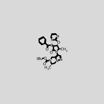 C[C@@H]1[C@@H](Oc2ncccn2)[C@H](OC(=O)c2ccccc2)C(=O)N1c1cnn2c1CN(C(=O)OC(C)(C)C)[C@@H](C)C2